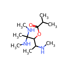 CNC(C)C(OC(=O)C(C)C)C(C)(NC)NC